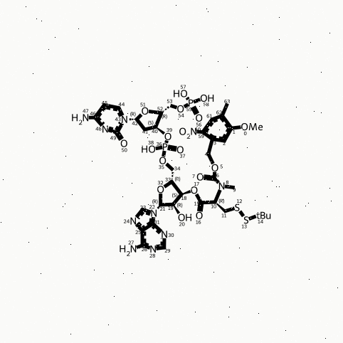 COc1cc(COC(=O)N(C)[C@@H](CSSC(C)(C)C)C(=O)O[C@H]2[C@@H](O)[C@H](n3cnc4c(N)ncnc43)O[C@@H]2COP(=O)(O)O[C@H]2C[C@H](n3ccc(N)nc3=O)O[C@@H]2COP(=O)(O)O)c([N+](=O)[O-])cc1C